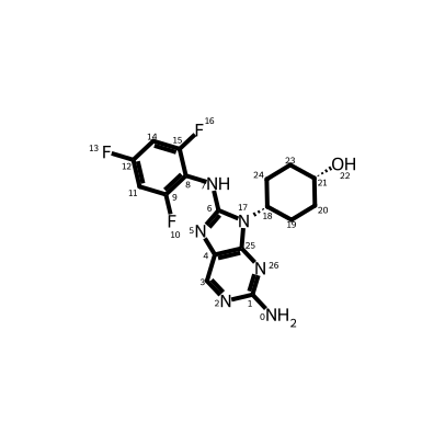 Nc1ncc2nc(Nc3c(F)cc(F)cc3F)n([C@H]3CC[C@@H](O)CC3)c2n1